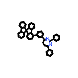 C1=C(c2ccccc2)N=C(c2ccccc2)N=C(c2cccc(-c3cccc4c3-c3ccccc3C43c4ccccc4-c4ccccc43)c2)C1